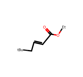 CCOC(=O)/C=C/CC(C)(C)C